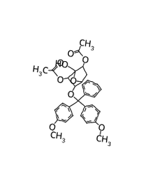 COc1ccc(C(OC2C3CC(OC(C)=O)C(O)(O3)C2OC(C)=O)(c2ccccc2)c2ccc(OC)cc2)cc1